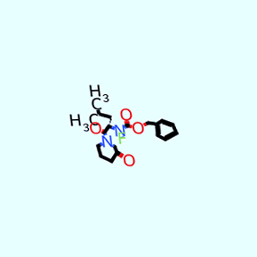 CC(C)C[C@@H](C(=O)N1CCCC(=O)C1)N(F)C(=O)OCc1ccccc1